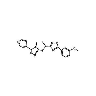 COc1cccc(-c2nc(C(C)Sc3nnc(-c4ccncc4)n3C)no2)c1